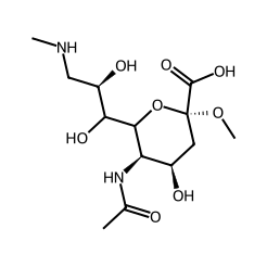 CNC[C@@H](O)C(O)C1O[C@@](OC)(C(=O)O)C[C@@H](O)[C@H]1NC(C)=O